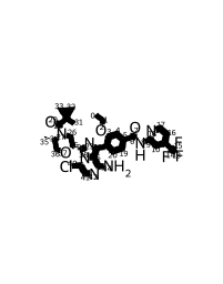 CCOc1cc(C(=O)Nc2cc(C(F)(F)F)ccn2)ccc1-c1nc([C@H]2CN(C(=O)C3(C)CC3)[C@@H](C)CO2)n2c(Cl)cnc(N)c12